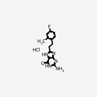 Cc1cc(F)ccc1CCc1nc2nc(N)[nH]c(=O)c2[nH]1.Cl